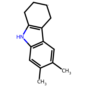 Cc1cc2[nH]c3c(c2cc1C)C[CH]CC3